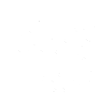 COc1c(Nc2cc(Nc3ccc(N4CCCC4O)c(C#N)n3)nc3[nH]c(C)nc23)cccc1-c1nnn(C)n1